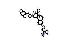 C/N=C(/COc1ccc2c(c1)CCn1c-2cc(OCC2COCCO2)nc1=O)OC